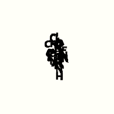 FC(F)(c1ccc(Cl)c(Cl)c1)c1nnc(C2CNCC23CN(CC2CCCO2)C3)o1